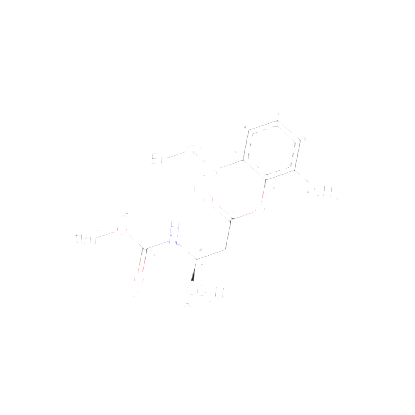 CCSSc1cccc(C)c1OC(=O)C[C@H](NC(=O)OC(C)(C)C)C(=O)O